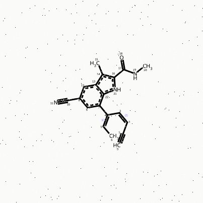 C#C/C=C\C(=C/C)c1cc(C#N)cc2c(C)c(C(=O)NC)[nH]c12